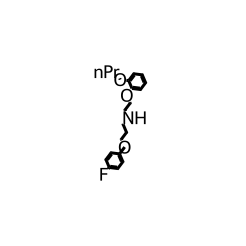 CCCOc1ccccc1OCCNCCCOc1ccc(F)cc1